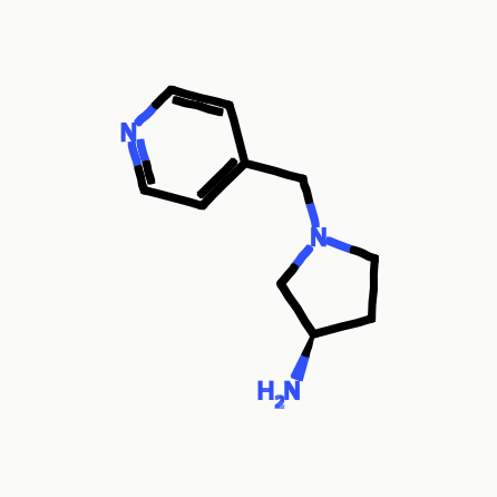 N[C@@H]1CCN(Cc2ccncc2)C1